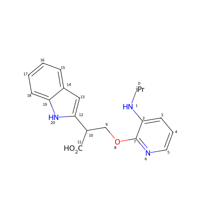 CC(C)Nc1cccnc1OCC(C(=O)O)c1cc2ccccc2[nH]1